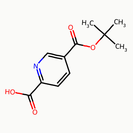 CC(C)(C)OC(=O)c1ccc(C(=O)O)nc1